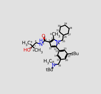 Cc1c(C(=O)NCC(C)(C)O)cc(-c2cc(CN(C)C(C)(C)C)cc(C(C)(C)C)c2)n1CC1CCCCC1